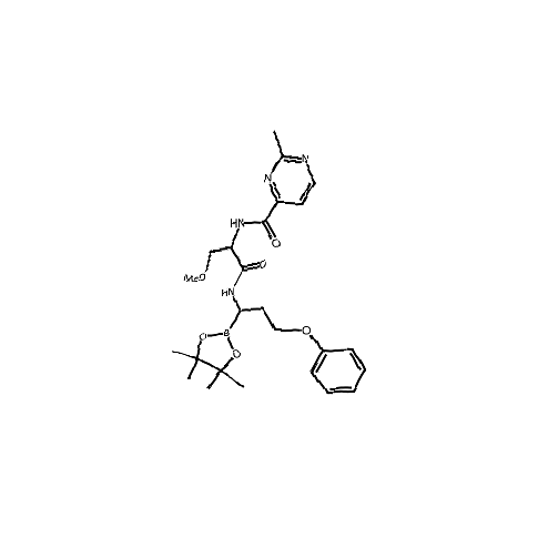 COCC(NC(=O)c1ccnc(C)n1)C(=O)NC(CCOc1ccccc1)B1OC(C)(C)C(C)(C)O1